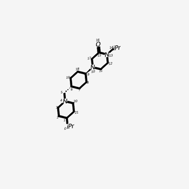 CC(C)C1CCN(C[C@H]2CC[C@H](N3CCN(C(C)C)C(=O)C3)CC2)CC1